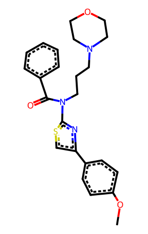 COc1ccc(-c2csc(N(CCCN3CCOCC3)C(=O)c3ccccc3)n2)cc1